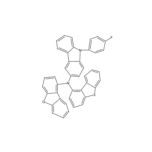 Fc1ccc(-n2c3ccccc3c3cc(N(c4cccc5oc6ccccc6c45)c4cccc5sc6ccccc6c45)ccc32)cc1